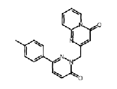 Cc1ccc(-c2ccc(=O)n(Cc3cc(=O)n4ccccc4n3)n2)cc1